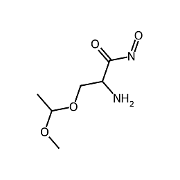 COC(C)OCC(N)C(=O)N=O